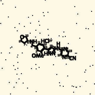 COc1cc(CN[C@@H]2CCOC2)ccc1-c1cc(Nc2cnc(C#N)cn2)n[nH]1.Cl